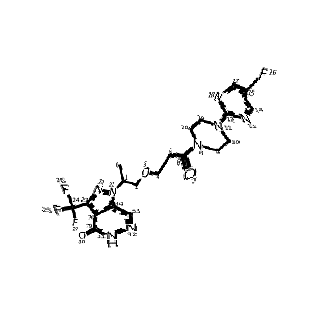 CC(COCCC(=O)N1CCN(c2ncc(F)cn2)CC1)n1nc(C(F)(F)F)c2c(=O)[nH]ncc21